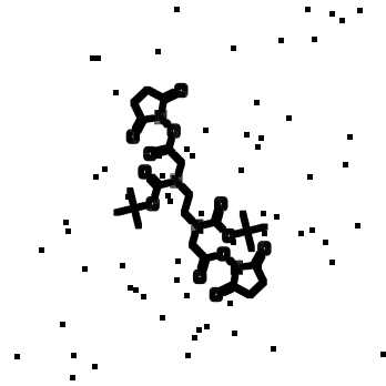 CC(C)(C)OC(=O)N(CCN(CC(=O)ON1C(=O)CCC1=O)C(=O)OC(C)(C)C)CC(=O)ON1C(=O)CCC1=O